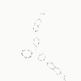 CCCCCCCCOc1ccc(N(c2ccc(-c3cc4sc(/C=C(\C#N)C(=O)O)cc4s3)cc2)c2ccc(-c3cc4sc(/C=C(\C#N)C(=O)O)cc4s3)cc2)cc1